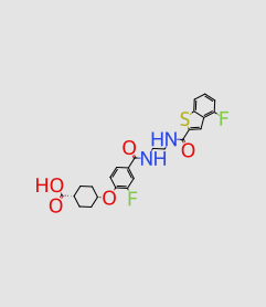 O=C(NCCNC(=O)c1cc2c(F)cccc2s1)c1ccc(O[C@H]2CC[C@@H](C(=O)O)CC2)c(F)c1